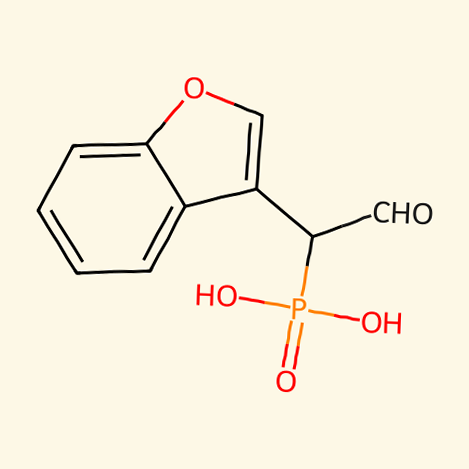 O=CC(c1coc2ccccc12)P(=O)(O)O